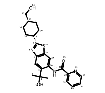 CC(C)(O)c1cc2nc([C@H]3CC[C@H](CO)CC3)sc2cc1NC(=O)c1ccccn1